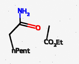 CCCCCCC(N)=O.CCOC(C)=O